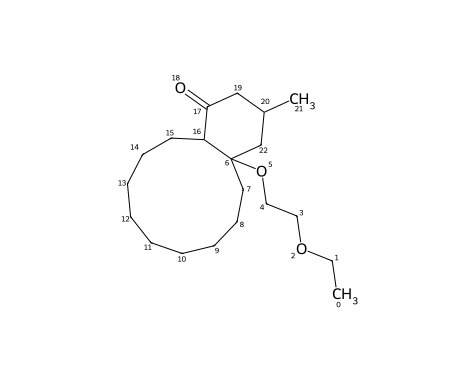 CCOCCOC12CCCCCCCCCC1C(=O)CC(C)C2